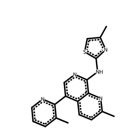 Cc1csc(Nc2ncc(-c3ncccc3C)c3ccc(C)nc23)n1